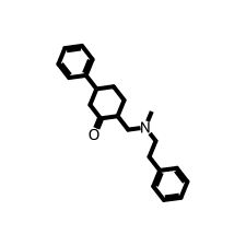 CN(CCc1ccccc1)CC1CCC(c2ccccc2)CC1=O